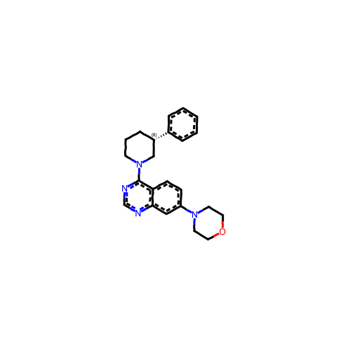 c1ccc([C@H]2CCCN(c3ncnc4cc(N5CCOCC5)ccc34)C2)cc1